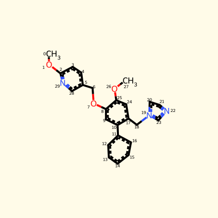 COc1ccc(COc2cc(-c3ccccc3)c(Cn3ccnc3)cc2OC)cn1